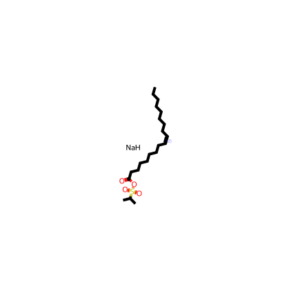 CCCCCCCC/C=C\CCCCCCCC(=O)OS(=O)(=O)C(C)C.[NaH]